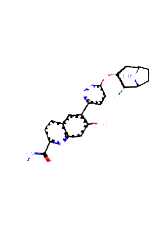 CNC(=O)c1ccc2cc(-c3ccc(O[C@H]4CC5CCC(N5)[C@H]4F)nn3)c(O)cc2n1